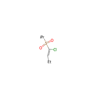 CCC=C(Cl)S(=O)(=O)C(C)C